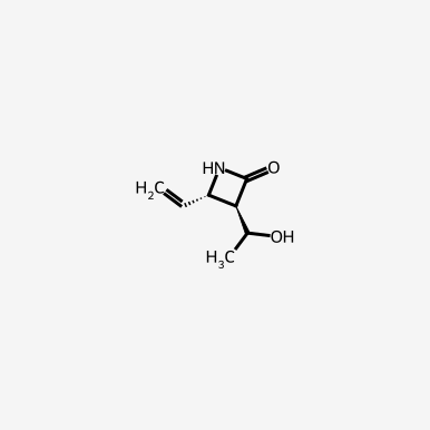 C=C[C@@H]1NC(=O)[C@H]1C(C)O